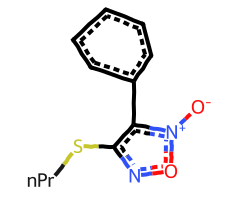 CCCSc1no[n+]([O-])c1-c1ccccc1